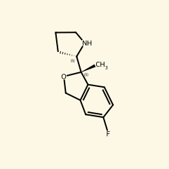 C[C@]1([C@@H]2CCCN2)OCc2cc(F)ccc21